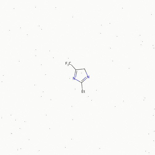 CCC1=NCC(C(F)(F)F)=N1